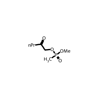 CCCC(=O)COP(C)(=O)OC